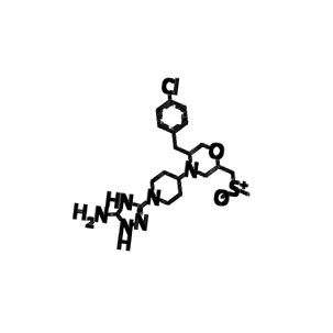 C[S+]([O-])CC1CN(C2CCN(C3=NNC(N)N3)CC2)C(Cc2ccc(Cl)cc2)CO1